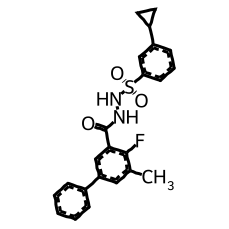 Cc1cc(-c2ccccc2)cc(C(=O)NNS(=O)(=O)c2cccc(C3CC3)c2)c1F